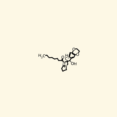 CCCCCCCC(=O)NC(C)(CN1CCCC1)[C@H](O)c1ccc2c(c1)OCCO2